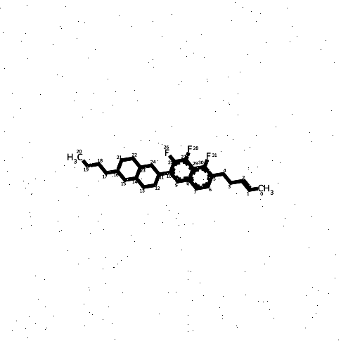 CC=CCCc1ccc2cc(C3CCC4CC(CCCC)CCC4C3)c(F)c(F)c2c1F